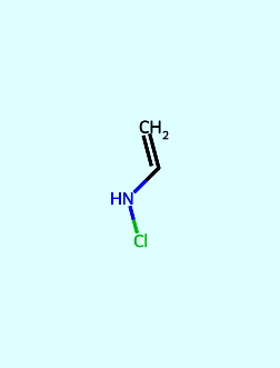 C=CNCl